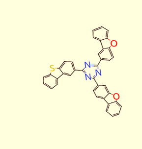 c1ccc2c(c1)oc1cc(-c3nc(-c4ccc5oc6ccccc6c5c4)nc(-c4ccc5sc6ccccc6c5c4)n3)ccc12